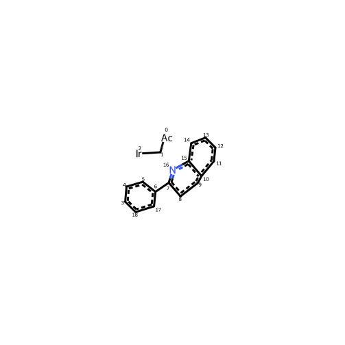 CC(=O)[CH2][Ir].c1ccc(-c2ccc3ccccc3n2)cc1